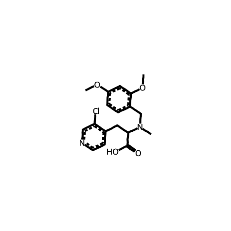 COc1ccc(CN(C)C(Cc2ccncc2Cl)C(=O)O)c(OC)c1